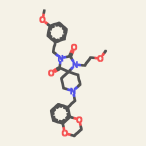 COCCN1C(=O)N(Cc2cccc(OC)c2)C(=O)C12CCN(Cc1cccc3c1OCCO3)CC2